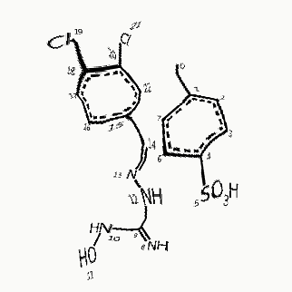 Cc1ccc(S(=O)(=O)O)cc1.N=C(NO)NN=Cc1ccc(Cl)c(Cl)c1